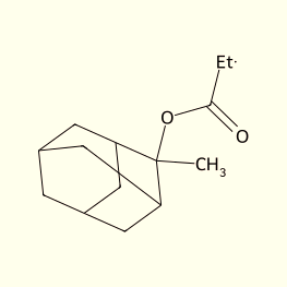 C[CH]C(=O)OC1(C)C2CC3CC(C2)CC1C3